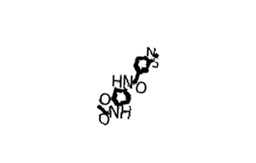 O=C1COc2cc(NC(=O)c3ccc4ncsc4c3)ccc2N1